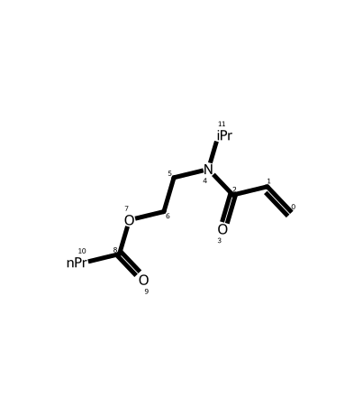 C=CC(=O)N(CCOC(=O)CCC)C(C)C